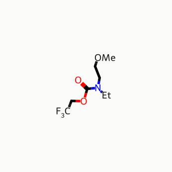 CCN(CCOC)C(=O)OCC(F)(F)F